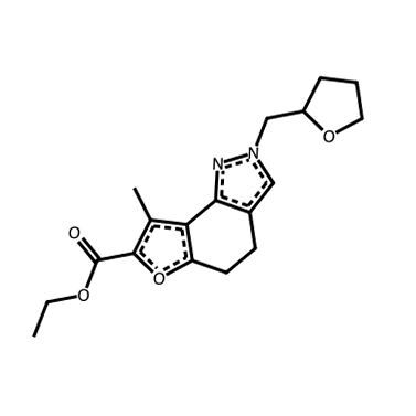 CCOC(=O)c1oc2c(c1C)-c1nn(CC3CCCO3)cc1CC2